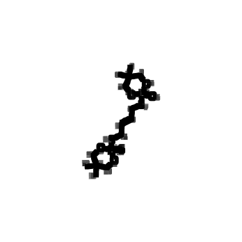 CC1(C)COP(=O)(SC/C=C/CSP2(=S)OCC(C)(C)CO2)OC1